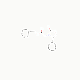 O=C(CN1C(=O)OC[C@H]1c1ccccc1)OCc1ccccc1